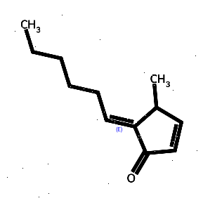 CCCCC/C=C1/C(=O)C=CC1C